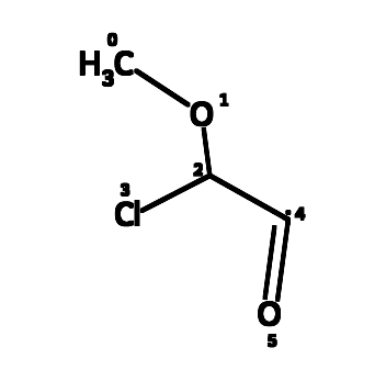 COC(Cl)[C]=O